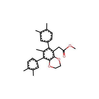 COC(=O)Cc1c2c(c(-c3ccc(C)c(C)c3)c(C)c1-c1ccc(C)c(C)c1)OCCO2